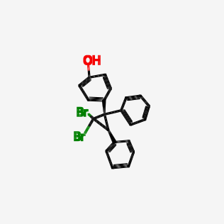 Oc1ccc([C@@]2(c3ccccc3)[C@@H](c3ccccc3)C2(Br)Br)cc1